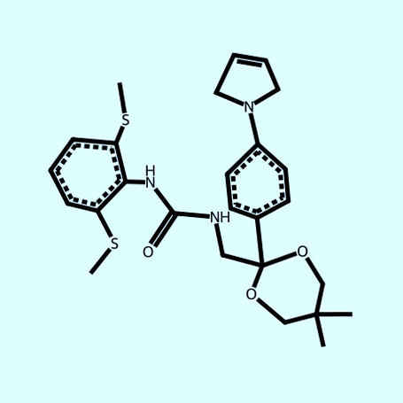 CSc1cccc(SC)c1NC(=O)NCC1(c2ccc(N3CC=CC3)cc2)OCC(C)(C)CO1